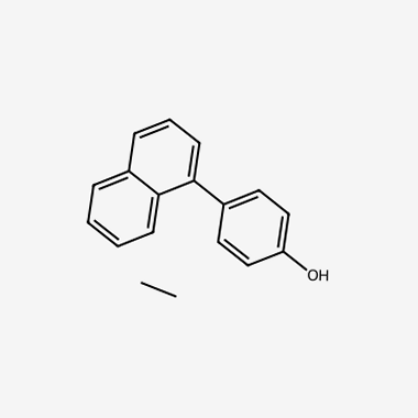 CC.Oc1ccc(-c2cccc3ccccc23)cc1